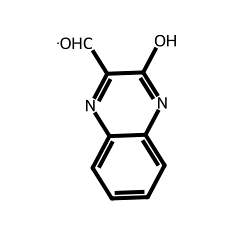 O=[C]c1nc2ccccc2nc1O